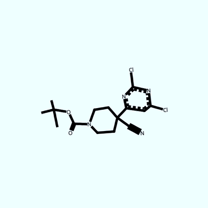 CC(C)(C)OC(=O)N1CCC(C#N)(c2cc(Cl)nc(Cl)n2)CC1